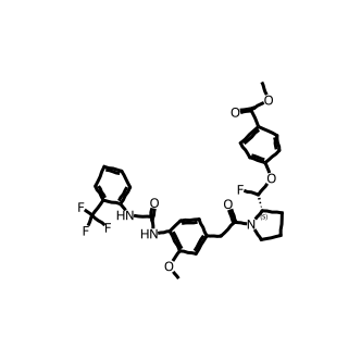 COC(=O)c1ccc(OC(F)[C@@H]2CCCN2C(=O)Cc2ccc(NC(=O)Nc3ccccc3C(F)(F)F)c(OC)c2)cc1